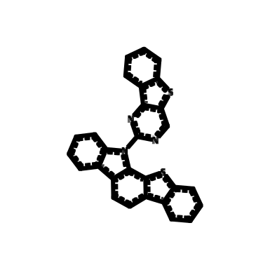 c1ccc2c(c1)sc1c2ccc2c3ccccc3n(-c3ncc4sc5ccccc5c4n3)c21